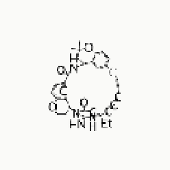 CCC12CCC/C=C\Cc3ccc4c(c3)C(CC(C)(C)O4)NC(=O)c3ccc4c(c3)C(CCO4)N(C(=N)N1)C(=O)C2